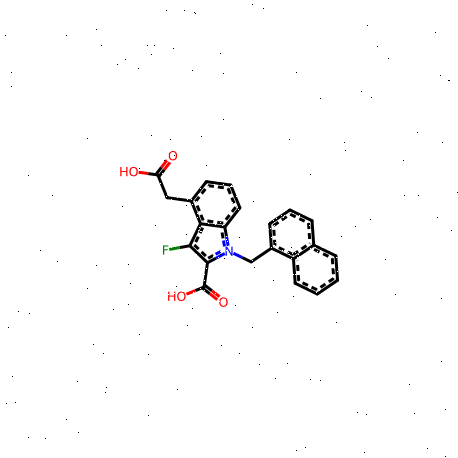 O=C(O)Cc1cccc2c1c(F)c(C(=O)O)n2Cc1cccc2ccccc12